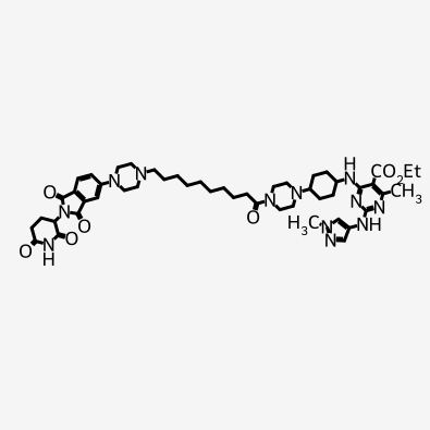 CCOC(=O)c1c(C)nc(Nc2cnn(C)c2)nc1NC1CCC(N2CCN(C(=O)CCCCCCCCCN3CCN(c4ccc5c(c4)C(=O)N(C4CCC(=O)NC4=O)C5=O)CC3)CC2)CC1